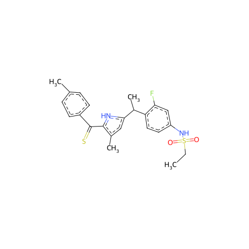 CCS(=O)(=O)Nc1ccc(C(C)c2cc(C)c(C(=S)c3ccc(C)cc3)[nH]2)c(F)c1